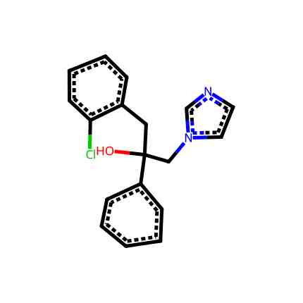 OC(Cc1ccccc1Cl)(Cn1ccnc1)c1ccccc1